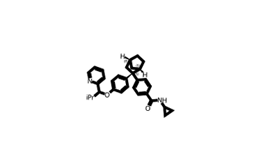 CC(C)C(Oc1ccc([C@@]2(c3ccc(C(=O)NC4CC4)cc3)C[C@@H]3CC[C@H]2C3)cc1)c1ccccn1